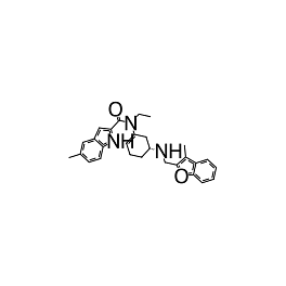 CCN(C(=O)c1cc2cc(C)ccc2[nH]1)C1=CCC[C@@H](NCc2oc3ccccc3c2C)C1